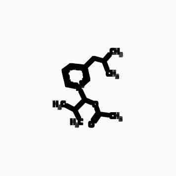 CC(=O)OC(C(C)C)[n+]1cccc(CC(C)C)c1